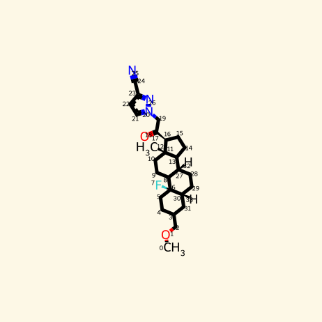 COCC1CC[C@]2(F)C3CC[C@@]4(C)C(CC[C@@H]4C(=O)Cn4ccc(C#N)n4)[C@@H]3CC[C@@H]2C1